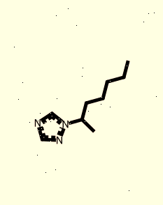 CCCCCC(C)n1cncn1